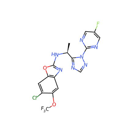 C[C@H](Nc1nc2cc(OC(F)(F)F)c(Cl)cc2o1)c1ncnn1-c1ncc(F)cn1